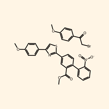 COC(=O)c1cc(-c2nc(-c3ccc(OC)cc3)cs2)ccc1-c1ccccc1[N+](=O)[O-].COc1ccc(C(=O)CBr)cc1